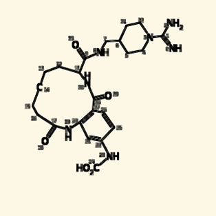 N=C(N)N1CCC(CNC(=O)C2CCCCCC(=O)Nc3cc(NC(=O)O)ccc3C(=O)N2)CC1